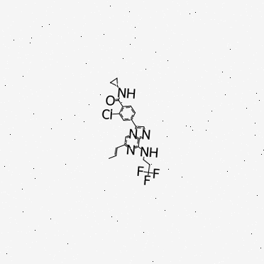 C/C=C/c1cn2c(-c3ccc(C(=O)NC4CC4)c(Cl)c3)cnc2c(NCCC(F)(F)F)n1